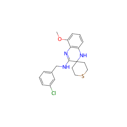 COc1cccc2c1N=C(NCc1cccc(Cl)c1)C1(CCSCC1)N2